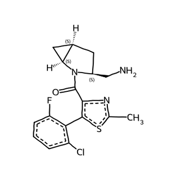 Cc1nc(C(=O)N2[C@H](CN)C[C@@H]3C[C@@H]32)c(-c2c(F)cccc2Cl)s1